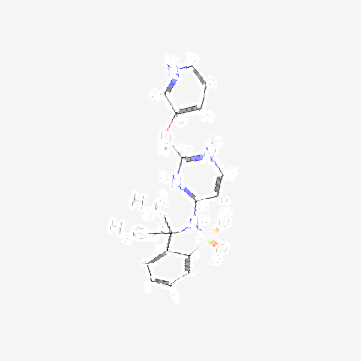 CC1(C)c2ccccc2S(=O)(=O)N1c1ccnc(Oc2cccnc2)n1